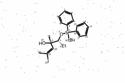 CC[C@@H](O[Si](c1ccccc1)(c1ccccc1)C(C)(C)C)[C@@](C)(O)/C=C(\C)I